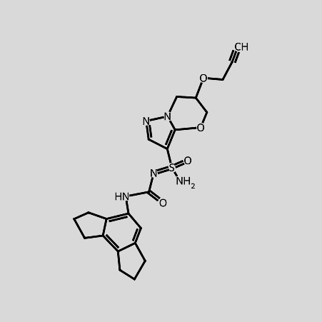 C#CCOC1COc2c(S(N)(=O)=NC(=O)Nc3cc4c(c5c3CCC5)CCC4)cnn2C1